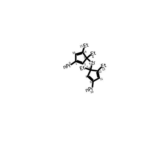 CCCC1=C[C](CC)([Zr][C]2(CC)C=C(CCC)C=C2CC)C(CC)=C1